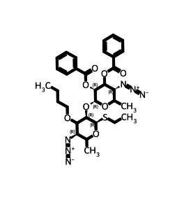 CCCCOC1[C@H](N=[N+]=[N-])C(C)O[C@H](SCC)[C@@H]1O[C@H]1OC(C)[C@@H](N=[N+]=[N-])C(OC(=O)c2ccccc2)[C@H]1OC(=O)c1ccccc1